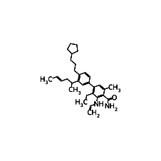 C=CNc1c(CC)c(-c2ccc(CCCC3CCCC3)c(C(C)C/C=C/C)c2)cc(C)c1C(N)=O